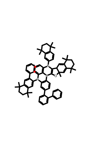 Cc1cc2c3c(c1)N(c1cc4c(cc1-c1ccccc1)C(C)(C)CCC4(C)C)c1cc(-c4ccccc4-c4ccccc4)ccc1B3C1=C(C3C=C4C(=CC3(C)O1)C(C)(C)CCC4(C)C)N2c1ccc2c(c1)C(C)(C)CCC2(C)C